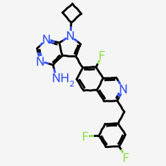 Nc1ncnc2c1c(-c1ccc3cc(Cc4cc(F)cc(F)c4)ncc3c1F)cn2C1CCC1